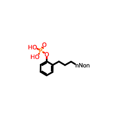 CCCCCCCCCCCCc1ccccc1OP(=O)(O)O